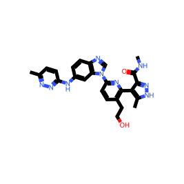 CNC(=O)c1n[nH]c(C)c1-c1nc(-n2cnc3ccc(Nc4ccc(C)nn4)cc32)ccc1CCO